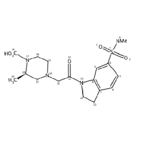 CNS(=O)(=O)c1ccc2c(c1)N(C(=O)CN1CCN(C(=O)O)[C@H](C)C1)CC2